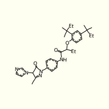 CCC(Oc1ccc(C(C)(C)CC)cc1C(C)(C)CC)C(=O)Nc1ccc(N2N=C(C)C(n3ccnc3)C2=O)cc1